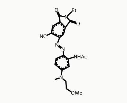 CCN1C(=O)c2cc(C#N)c(N=Nc3ccc(N(C)CCOC)cc3NC(C)=O)cc2C1=O